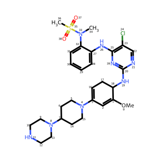 COC1=CC(N2CCC(N3CCNCC3)CC2)=CCC1Nc1ncc(Cl)c(Nc2ccccc2N(C)S(C)(=O)=O)n1